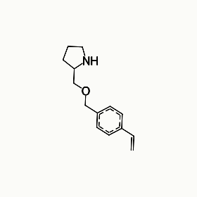 C=Cc1ccc(COCC2CCCN2)cc1